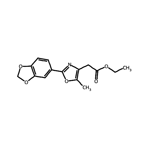 CCOC(=O)Cc1nc(-c2ccc3c(c2)OCO3)oc1C